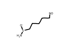 N[S+]([O-])CCCCCN=O